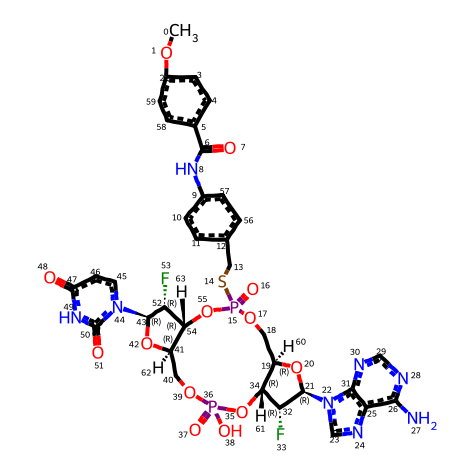 COc1ccc(C(=O)Nc2ccc(CSP3(=O)OC[C@H]4O[C@@H](n5cnc6c(N)ncnc65)[C@H](F)[C@@H]4OP(=O)(O)OC[C@H]4O[C@@H](n5ccc(=O)[nH]c5=O)[C@H](F)[C@@H]4O3)cc2)cc1